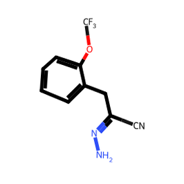 N#CC(Cc1ccccc1OC(F)(F)F)=NN